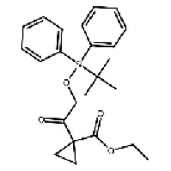 CCOC(=O)C1(C(=O)CO[Si](c2ccccc2)(c2ccccc2)C(C)(C)C)CC1